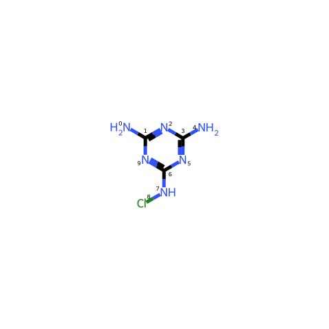 Nc1nc(N)nc(NCl)n1